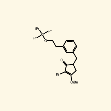 CCC1=C(OCC(C)C)CC(Cc2cccc(CCO[Si](C(C)C)(C(C)C)C(C)C)c2)C1=O